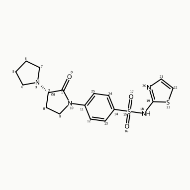 O=C1[C@@H](N2CCCC2)CCN1c1ccc(S(=O)(=O)Nc2nccs2)cc1